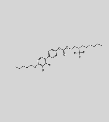 CCCCCCC(CCOC(=O)Oc1ccc(-c2ccc(OCCCCC)c(F)c2F)cc1)C(F)(F)F